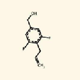 C=CCc1c(F)cc(CO)cc1F